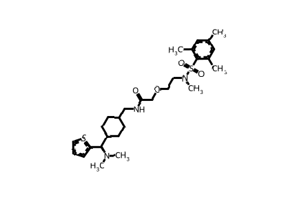 Cc1cc(C)c(S(=O)(=O)N(C)CCOCC(=O)NCC2CCC(C(c3cccs3)N(C)C)CC2)c(C)c1